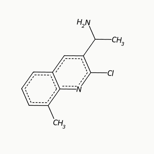 Cc1cccc2cc(C(C)N)c(Cl)nc12